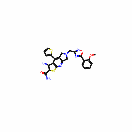 COc1ccccc1-c1nc(CN2Cc3nc4c(c(-c5cccs5)c3C2)C(N)C(C(N)=O)S4)no1